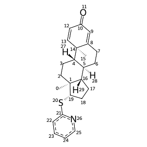 C[C@]12CC[C@H]3[C@@H](CCC4=CC(=O)C=C[C@@]43C)[C@@H]1CC[C@@H]2Sc1ccccn1